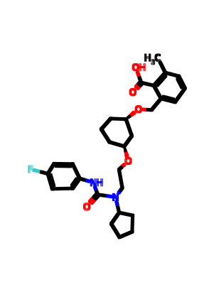 Cc1cccc(CO[C@@H]2CCC[C@H](OCCN(C(=O)Nc3ccc(F)cc3)C3CCCC3)C2)c1C(=O)O